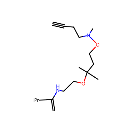 C#CCCN(C)OCCC(C)(C)OCCNC(=C)C(C)C